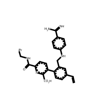 C=Cc1ccc(-c2ccc(C(=O)NCC(C)C)nc2C(=O)O)c(CNc2ccc(C(=N)N)cc2)c1